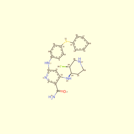 NC(=O)c1cnc(Nc2ccc(Sc3ccccc3)cc2)cc1N[C@@H]1CCNC[C@@H]1F